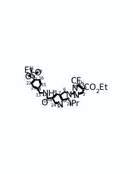 CCOC(=O)c1cnc(N2Cc3cc(C(=O)NCc4ccc(S(=O)(=O)CC)cc4)cnc3[C@@H]2C(C)C)nc1C(F)(F)F